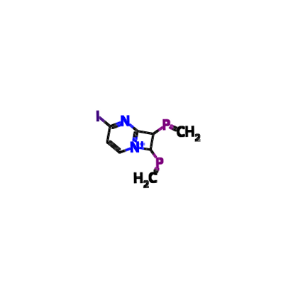 C=PC1c2nc(I)cc[n+]2C1P=C